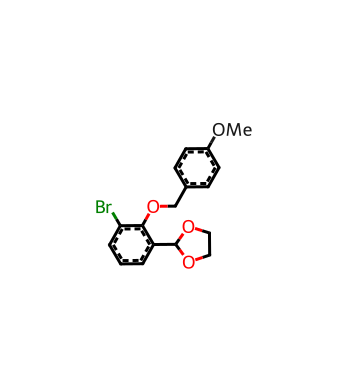 COc1ccc(COc2c(Br)cccc2C2OCCO2)cc1